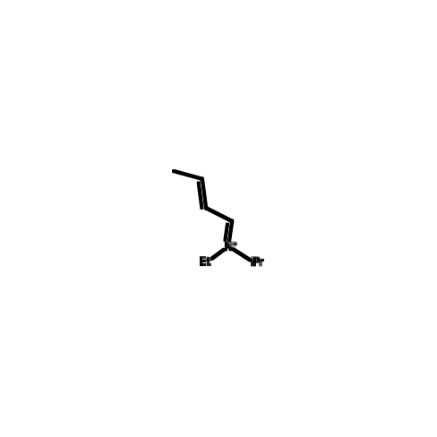 C/C=C/C=[N+](\CC)C(C)C